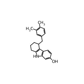 Cc1ccc(CC2CCCc3[nH]c4cc(O)ccc4c32)cc1C